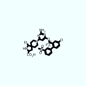 CCC1NC(C(=O)O)CC12CCN(c1cc(O[C@H](c3cc(Cl)ccc3-c3cccc(S(C)(=O)=O)c3)C(F)(F)F)nc(N)n1)CC2